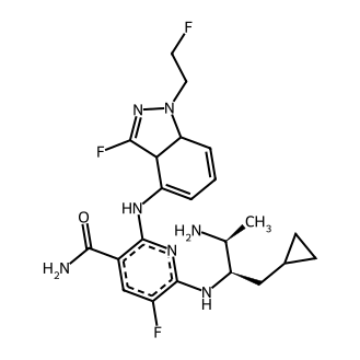 C[C@H](N)[C@@H](CC1CC1)Nc1nc(NC2=CC=CC3C2C(F)=NN3CCF)c(C(N)=O)cc1F